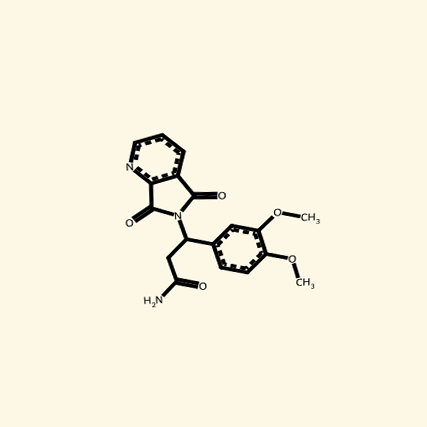 COc1ccc(C(CC(N)=O)N2C(=O)c3cccnc3C2=O)cc1OC